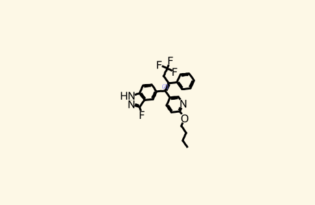 CCCCOc1ccc(/C(=C(/CC(F)(F)F)c2ccccc2)c2ccc3[nH]nc(F)c3c2)cn1